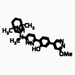 COc1cc(-c2ccc(-c3ccc(N(C)[C@H]4C[C@]5(C)CCC[C@](C)(C4)N5O)nn3)c(O)c2)cnn1